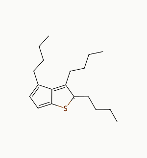 CCCC[C]1SC2=CC=C(CCCC)C2=C1CCCC